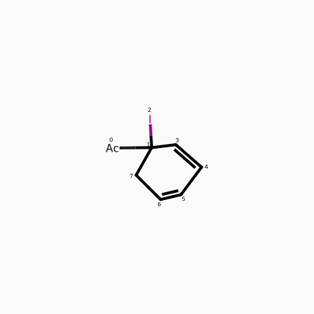 CC(=O)C1(I)C=CC=CC1